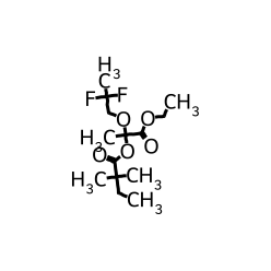 CCOC(=O)C(C)(OCC(C)(F)F)OC(=O)C(C)(C)CC